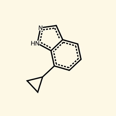 c1cc(C2CC2)c2[nH]ncc2c1